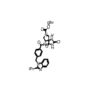 CC(C)c1nc2ccccc2n1Cc1ccc(C(=O)N[C@@H]2CN(C(=O)OC(C)(C)C)C[C@]23NC(=O)NC3=O)cc1